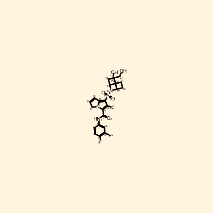 O=C(Nc1ccc(F)c(F)c1)c1c(Cl)c(S(=O)(=O)N2C3CCC34C2C[C@]4(O)CO)c2n1CC=C2